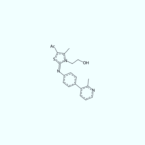 CC(=O)c1sc(=Nc2ccc(-c3cccnc3C)cc2)n(CCO)c1C